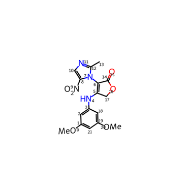 COc1cc(NC2=C(n3c([N+](=O)[O-])cnc3C)C(=O)OC2)cc(OC)c1